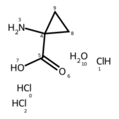 Cl.Cl.Cl.NC1(C(=O)O)CC1.O